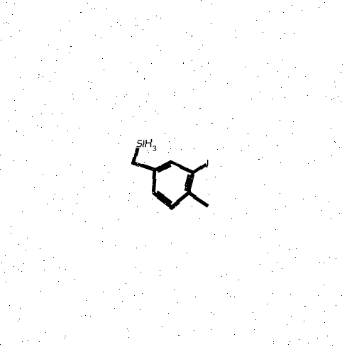 Cc1ccc(C[SiH3])cc1I